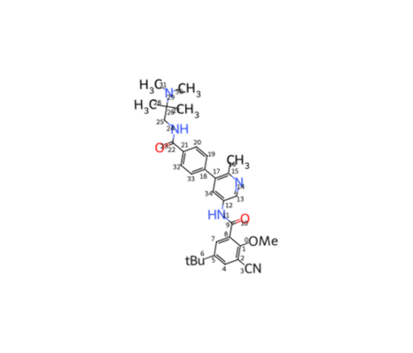 COc1c(C#N)cc(C(C)(C)C)cc1C(=O)Nc1cnc(C)c(-c2ccc(C(=O)NCC(C)(C)N(C)C)cc2)c1